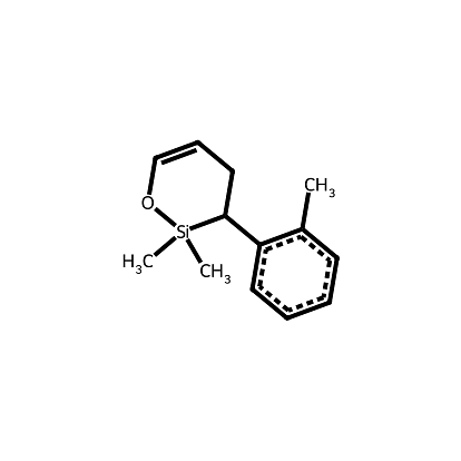 Cc1ccccc1C1CC=CO[Si]1(C)C